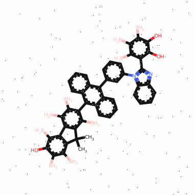 Bc1c(B)c(O)c(O)c(-c2nc3ccccc3n2-c2cccc(-c3c4ccccc4c(-c4c(B)c(B)c5c(c4B)C(C)(C)c4c(B)c(B)c(O)c(B)c4-5)c4ccccc34)c2)c1B